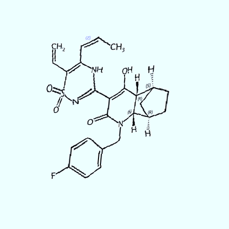 C=CC1=C(/C=C\C)NC(C2=C(O)[C@@H]3[C@H]4CC[C@H](C4)[C@@H]3N(Cc3ccc(F)cc3)C2=O)=NS1(=O)=O